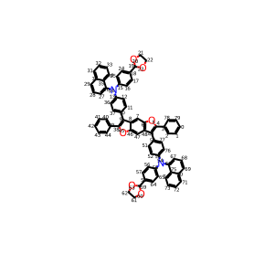 c1ccc(-c2oc3cc4c(-c5ccc(N(c6ccc(C7OCCO7)cc6)c6cccc7ccccc67)cc5)c(-c5ccccc5)oc4cc3c2-c2ccc(N(c3ccc(C4OCCO4)cc3)c3cccc4ccccc34)cc2)cc1